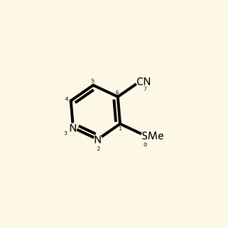 CSc1nnccc1C#N